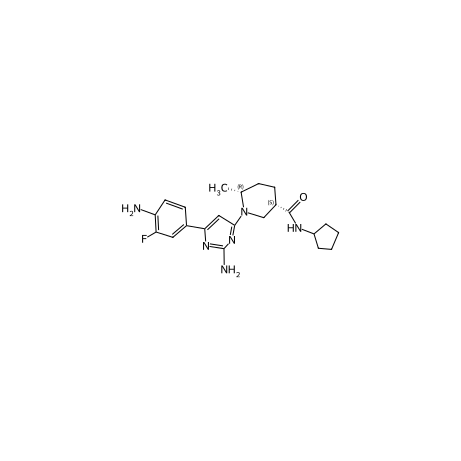 C[C@@H]1CC[C@H](C(=O)NC2CCCC2)CN1c1cc(-c2ccc(N)c(F)c2)nc(N)n1